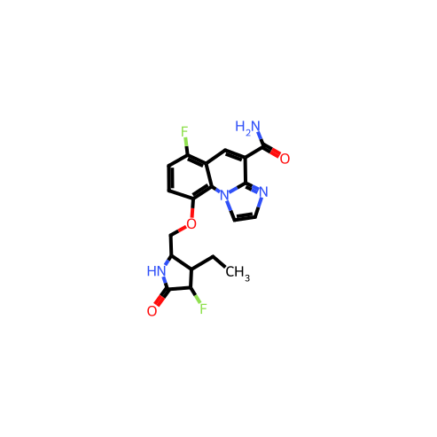 CCC1C(COc2ccc(F)c3cc(C(N)=O)c4nccn4c23)NC(=O)C1F